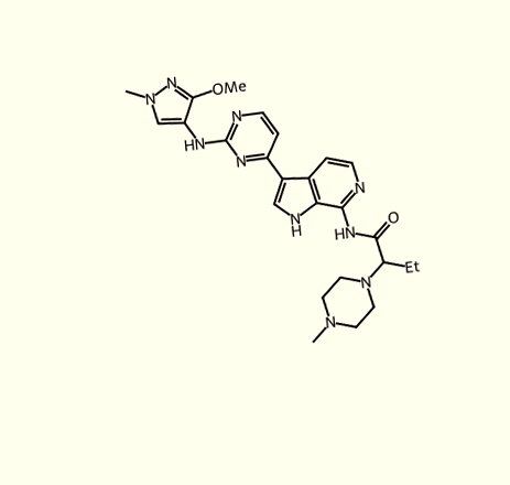 CCC(C(=O)Nc1nccc2c(-c3ccnc(Nc4cn(C)nc4OC)n3)c[nH]c12)N1CCN(C)CC1